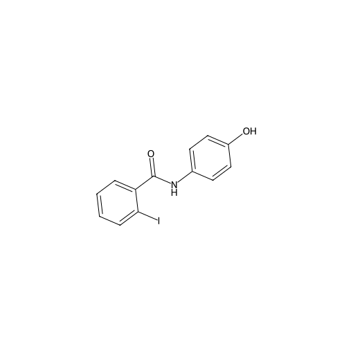 O=C(Nc1ccc(O)cc1)c1ccccc1I